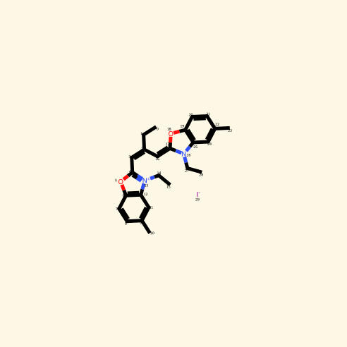 CCC(=Cc1oc2ccc(C)cc2[n+]1CC)C=C1Oc2ccc(C)cc2N1CC.[I-]